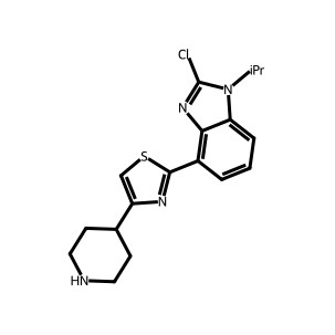 CC(C)n1c(Cl)nc2c(-c3nc(C4CCNCC4)cs3)cccc21